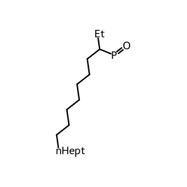 CCCCCCCCCCCCCCC(CC)P=O